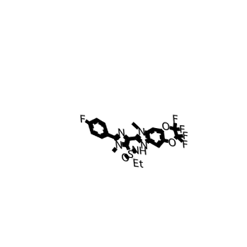 CCS(=N)(=O)c1c(-c2nc3cc4c(cc3n2C)OC(F)(F)C(F)(F)O4)nc(-c2ccc(F)cc2)n1C